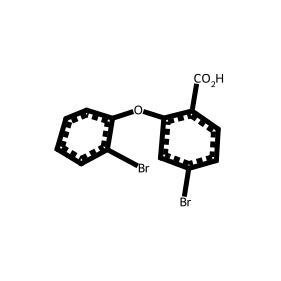 O=C(O)c1ccc(Br)cc1Oc1ccccc1Br